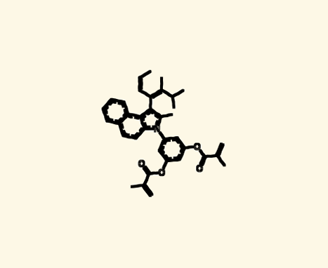 C=C(C)C(=O)Oc1cc(OC(=O)C(=C)C)cc(-n2c(C)c(C(/C=C\C)=C(/C)C(C)C)c3c4ccccc4ccc32)c1